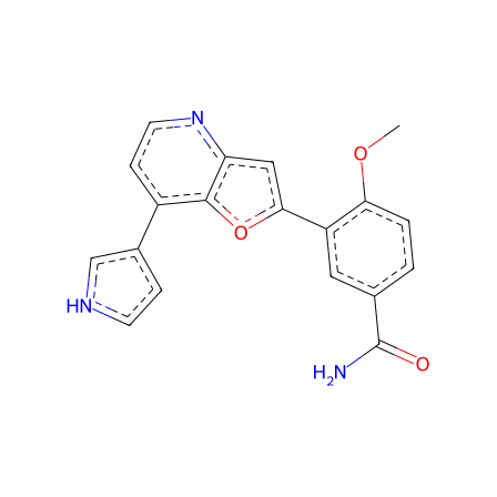 COc1ccc(C(N)=O)cc1-c1cc2nccc(-c3cc[nH]c3)c2o1